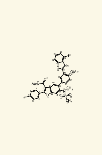 CNC(=O)c1c(-c2ccc(F)cc2)oc2cc(N(C)S(C)(=O)=O)c(-c3ccc(OC)c(-c4nc5c(I)cccc5o4)c3)cc12